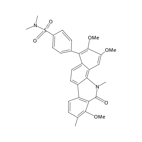 COc1cc2c(ccc3c4ccc(C)c(OC)c4c(=O)n(C)c23)c(-c2ccc(S(=O)(=O)N(C)C)cc2)c1OC